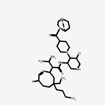 CCCCC1(CC)CCC(F)/C=N\C(C(C(=O)NC2CNCC(Cl)C2N2CCC(C(=O)N3CCN4CCC3CC4)CC2)C(N)N)C1